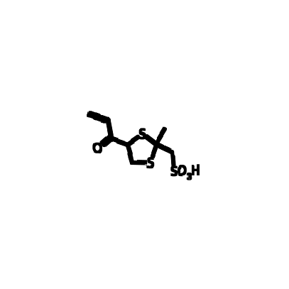 C=CC(=O)C1CSC(C)(CS(=O)(=O)O)S1